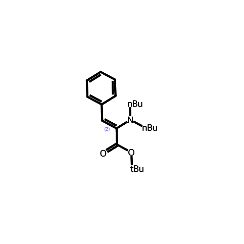 CCCCN(CCCC)/C(=C\c1ccccc1)C(=O)OC(C)(C)C